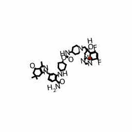 Cc1nn(-c2ccc(C(N)=O)c(NC3CCC(OC(=O)NC4CCN(C[C@@](O)(Cn5cncn5)c5ccc(F)cc5F)CC4)CC3)c2)c2c1C(=O)CC(C)(C)C2